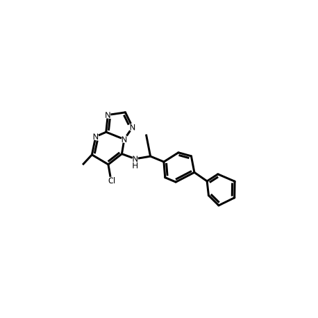 Cc1nc2ncnn2c(NC(C)c2ccc(-c3ccccc3)cc2)c1Cl